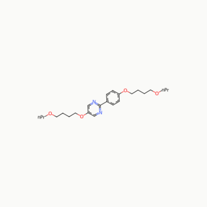 CCCOCCCCOc1ccc(-c2ncc(OCCCCOCCC)cn2)cc1